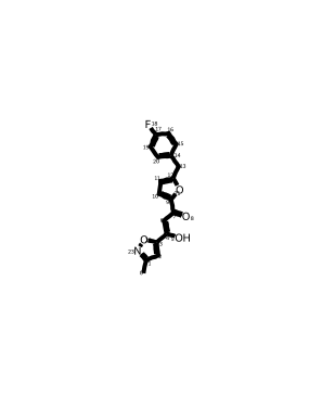 Cc1cc(C(O)=CC(=O)c2ccc(Cc3ccc(F)cc3)o2)on1